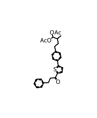 CC(=O)OC(OC(C)=O)C(C)CCc1ccc(-c2ccc(C(=O)CCc3ccccc3)s2)cc1